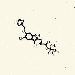 CC(C)(C)OC(=O)NCc1[nH]c2cc(OCc3cscn3)c(Cl)cc2c1Cl